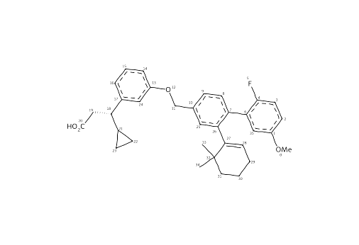 COc1ccc(F)c(-c2ccc(COc3cccc([C@@H](CC(=O)O)C4CC4)c3)cc2C2=CCCCC2(C)C)c1